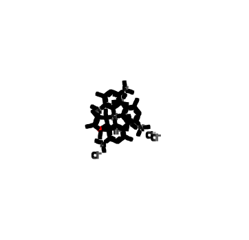 CC1=C(C)C(C)([Si](c2c(C)c(N(C)C)cc(C)c2N(C)C)(c2c(C)c(N(C)C)cc(C)c2N(C)C)c2c(C)c(N(C)C)cc(C)c2N(C)C)[C]([Ti+3])=C1C.[Cl-].[Cl-].[Cl-]